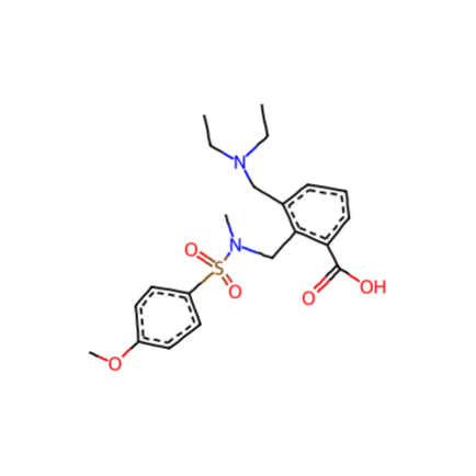 CCN(CC)Cc1cccc(C(=O)O)c1CN(C)S(=O)(=O)c1ccc(OC)cc1